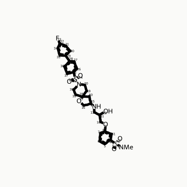 CNS(=O)(=O)c1cccc(OCC(O)CNC2COC3(CCN(S(=O)(=O)c4ccc(-c5ccc(F)cc5)cc4)CC3)C2)c1